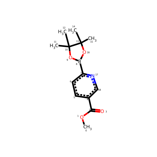 COC(=O)c1ccc(B2OC(C)(C)C(C)(C)O2)nc1